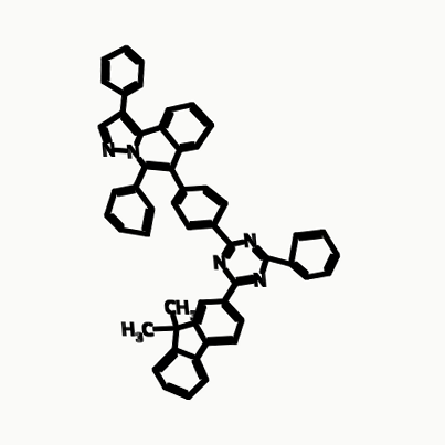 CC1(C)c2ccccc2-c2ccc(-c3nc(-c4ccccc4)nc(-c4ccc(-c5c(-c6ccccc6)n6ncc(-c7ccccc7)c6c6ccccc56)cc4)n3)cc21